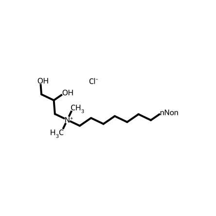 CCCCCCCCCCCCCCCC[N+](C)(C)CC(O)CO.[Cl-]